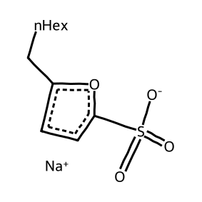 CCCCCCCc1ccc(S(=O)(=O)[O-])o1.[Na+]